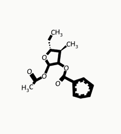 CC[C@H]1OC(OC(C)=O)C(OC(=O)c2ccccc2)[C@@H]1C